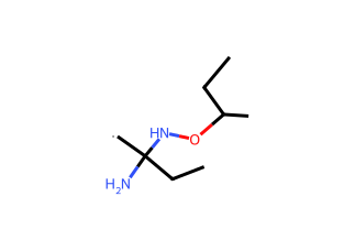 [CH2]C(N)(CC)NOC(C)CC